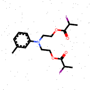 Cc1cccc(N(CCOC(=O)C(C)I)CCOC(=O)C(C)I)c1